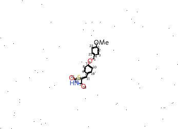 COc1ccc(COc2ccc(/C=C3\SC(=O)NC3=O)cc2)cc1